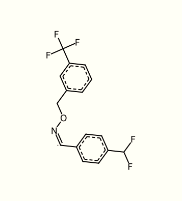 FC(F)c1ccc(/[C]=N\OCc2cccc(C(F)(F)F)c2)cc1